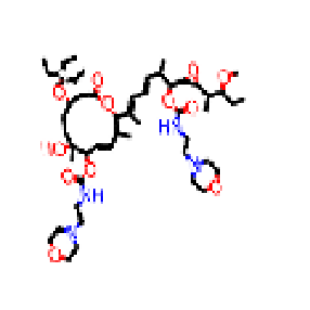 CCC(OC)C(C)C1OC1C(OC(=O)NCCN1CCOCC1)C(C)/C=C/C=C(\C)C1OC(=O)CC(O[Si](CC)(CC)CC)CCC(C)(O)C(OC(=O)NCCN2CCOCC2)/C=C/C1C